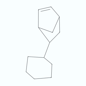 C1=CC2CC1CC2C1CCCCC1